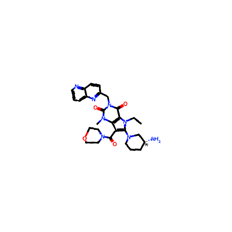 CCn1c(N2CCC[C@@H](N)C2)c(C(=O)N2CCOCC2)c2c1c(=O)n(Cc1ccc3ncccc3n1)c(=O)n2C